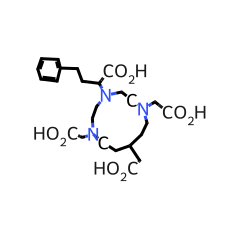 O=C(O)CC1CCN(CC(=O)O)CCN(C(CCc2ccccc2)C(=O)O)CCN(CC(=O)O)CC1